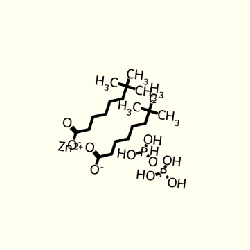 CC(C)(C)CCCCCC(=O)[O-].CC(C)(C)CCCCCC(=O)[O-].OP(O)O.OP(O)O.[Zn+2]